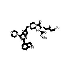 CC(C)(C)/C=C\C(=O)CC[C@H](NC(=O)OC(C)(C)C)C(=O)N1CCN(Cc2cc3nc(-c4cccc5[nH]ncc45)nc(N4CCOCC4)c3s2)CC1